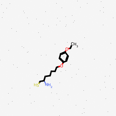 CCOc1ccc(OCCCCC[C@@H](N)CS)cc1